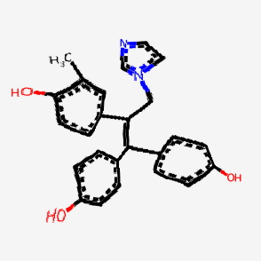 Cc1cc(C(Cn2ccnc2)=C(c2ccc(O)cc2)c2ccc(O)cc2)ccc1O